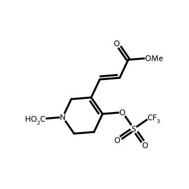 COC(=O)C=CC1=C(OS(=O)(=O)C(F)(F)F)CCN(C(=O)O)C1